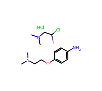 CN(C)CC(Cl)I.CN(C)CCOc1ccc(N)cc1.Cl